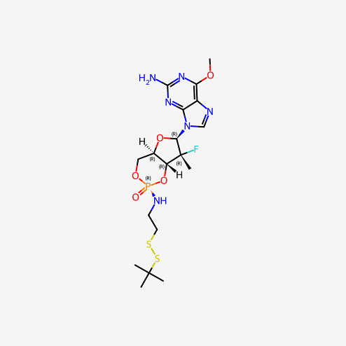 COc1nc(N)nc2c1ncn2[C@@H]1O[C@@H]2CO[P@](=O)(NCCSSC(C)(C)C)O[C@H]2[C@@]1(C)F